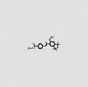 CC(=Cc1ccc(C(=O)OC(C)C)cc1)c1cc2c(cc1CC(C)C)C(C)(C)CC2(C)C